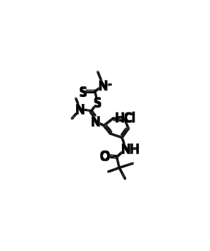 CN(C)C(=S)SC(=Nc1cccc(NC(=O)C(C)(C)C)c1)N(C)C.Cl